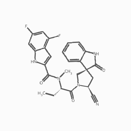 CC[C@@H](C(=O)N1C[C@]2(C[C@H]1C#N)C(=O)Nc1ccccc12)N(C)C(=O)c1cc2c(F)cc(F)cc2[nH]1